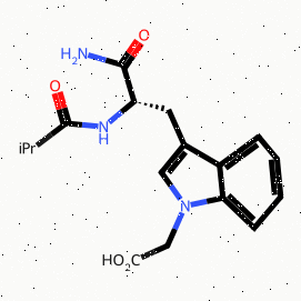 CC(C)C(=O)N[C@@H](Cc1cn(CC(=O)O)c2ccccc12)C(N)=O